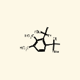 CCCCC(C)(CC)c1ccc(C(=O)O)c(C(=O)O)c1C(C)(CC)CCCC